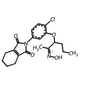 CCCC(Oc1cc(N2C(=O)C3=C(CCCC3)C2=O)ccc1Cl)/C(C)=N\O